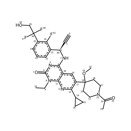 C#C[C@@H](Nc1nc(=O)n(CC)c2nc(C3CC3)c(C3(OC)CCN(C(C)=O)CC3)cc12)c1cccc(C(F)(F)CO)c1F